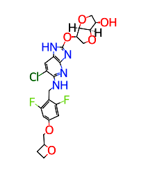 O[C@@H]1CO[C@H]2[C@@H]1OC[C@H]2Oc1nc2nc(NCc3c(F)cc(OCC4CCO4)cc3F)c(Cl)cc2[nH]1